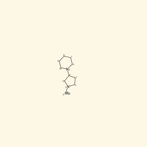 CC(C)(C)N1CCC(N2CCCCC2)C1